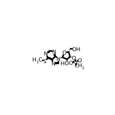 CSc1ncnc2c1ncn2[C@@H]1O[C@H](CO)[C@H](OS(C)(=O)=O)[C@H]1O